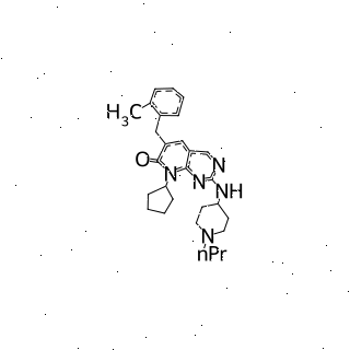 CCCN1CCC(Nc2ncc3cc(Cc4ccccc4C)c(=O)n(C4CCCC4)c3n2)CC1